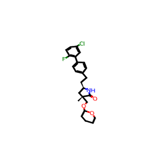 C[C@@]1(COC2CCCCO2)C[C@@H](CCc2ccc(-c3cc(Cl)ccc3F)cc2)NC1=O